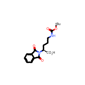 CC(C)(C)OC(=O)NCCC[C@@H](C(=O)O)N1C(=O)c2ccccc2C1=O